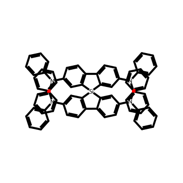 c1ccc(N(c2ccccc2)c2ccc3c(c2)[Si]2(c4cc(N(c5ccccc5)c5ccccc5)ccc4-3)c3cc(N(c4ccccc4)c4ccccc4)ccc3-c3ccc(N(c4ccccc4)c4ccccc4)cc32)cc1